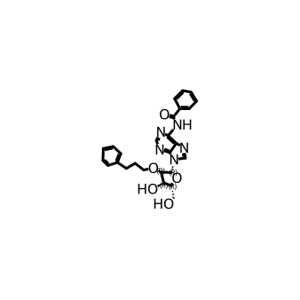 O=C(Nc1ncnc2c1ncn2[C@@H]1O[C@H](CO)[C@@H](O)[C@H]1OCCCc1ccccc1)c1ccccc1